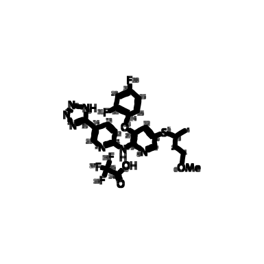 COCCC(C)Sc1cnc(Nc2ccc(-c3nnn[nH]3)cn2)c(Oc2ccc(F)cc2F)c1.O=C(O)C(F)(F)F